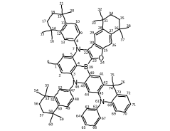 Cc1cc2c3c(c1)N(c1ccc4c(c1)C(C)(C)CCC4(C)C)c1c(oc4cc5c(cc14)C(C)(C)CCC5(C)C)B3c1cc3c(cc1N2c1ccc2c(c1)C(C)(C)CCC2(C)C)N(c1ccccc1)c1ccccc1C3(C)C